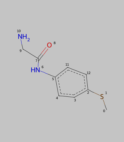 CSc1ccc(NC(=O)CN)cc1